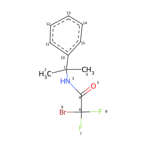 CC(C)(NC(=O)C(F)(F)Br)c1ccccc1